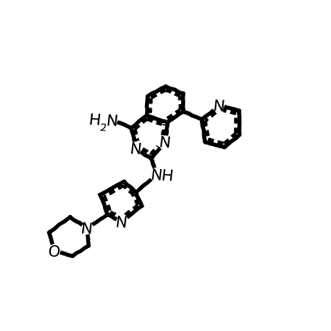 Nc1nc(Nc2ccc(N3CCOCC3)nc2)nc2c(-c3ccccn3)cccc12